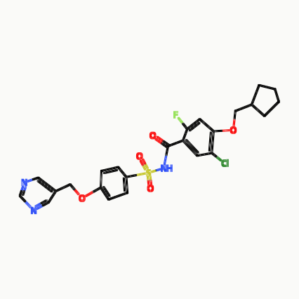 O=C(NS(=O)(=O)c1ccc(OCc2cncnc2)cc1)c1cc(Cl)c(OCC2CCCC2)cc1F